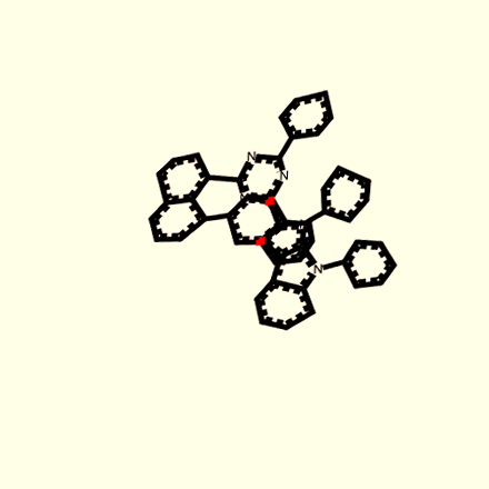 c1ccc(-c2nc(-c3ccccc3)nc(-c3cccc4cccc(-c5ccc6c(c5)c5c7ccccc7n(-c7ccccc7)c5n6-c5ccccc5)c34)n2)cc1